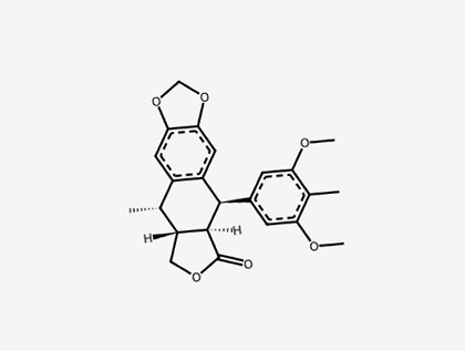 COc1cc([C@@H]2c3cc4c(cc3[C@@H](C)[C@H]3COC(=O)[C@H]23)OCO4)cc(OC)c1C